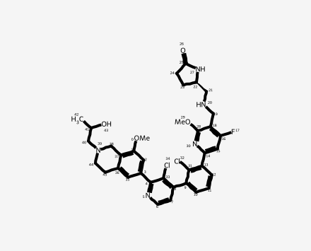 COc1cc(-c2nccc(-c3cccc(-c4cc(F)c(CNC[C@H]5CCC(=O)N5)c(OC)n4)c3Cl)c2Cl)cc2c1CN(CC(C)O)CC2